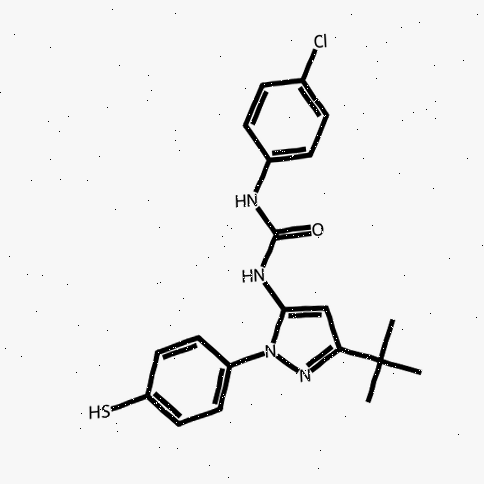 CC(C)(C)c1cc(NC(=O)Nc2ccc(Cl)cc2)n(-c2ccc(S)cc2)n1